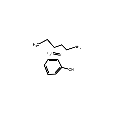 C=O.CCCCCN.Oc1ccccc1